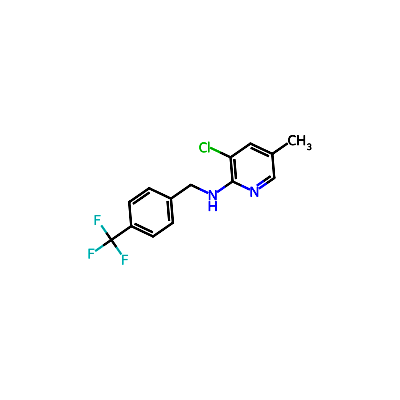 Cc1cnc(NCc2ccc(C(F)(F)F)cc2)c(Cl)c1